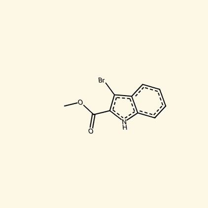 COC(=O)c1[nH]c2ccccc2c1Br